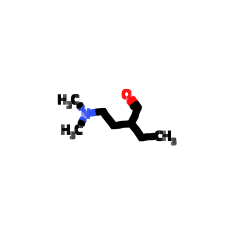 CC[C](C=O)CCN(C)C